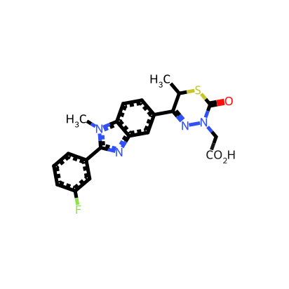 CC1SC(=O)N(CC(=O)O)N=C1c1ccc2c(c1)nc(-c1cccc(F)c1)n2C